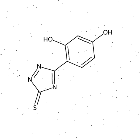 Oc1ccc(C2=NC(=S)N=N2)c(O)c1